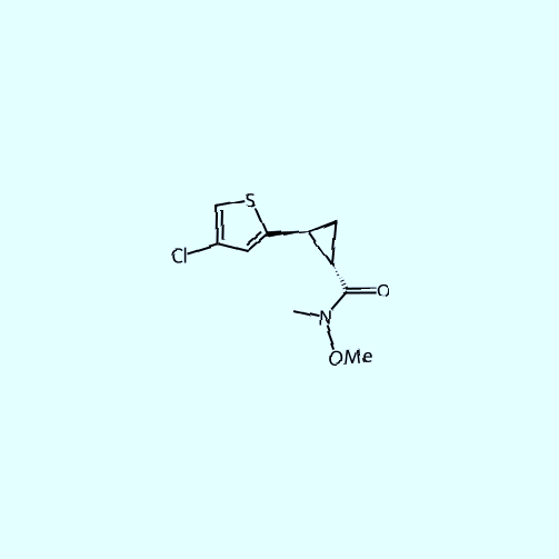 CON(C)C(=O)[C@H]1C[C@@H]1c1cc(Cl)cs1